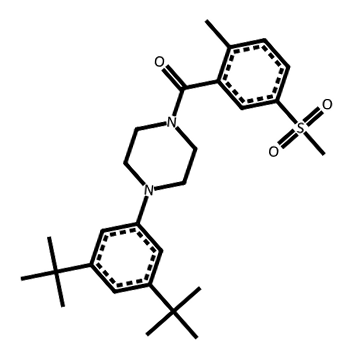 Cc1ccc(S(C)(=O)=O)cc1C(=O)N1CCN(c2cc(C(C)(C)C)cc(C(C)(C)C)c2)CC1